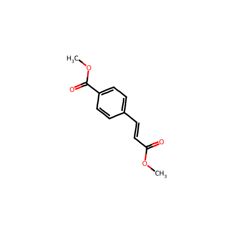 COC(=O)C=Cc1ccc(C(=O)OC)cc1